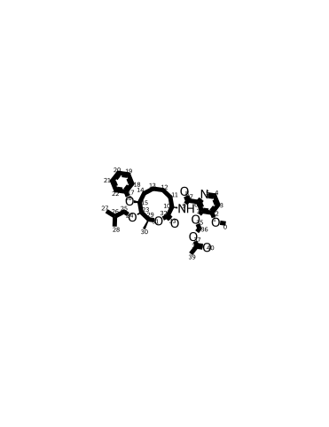 COc1ccnc(C(=O)N[C@H]2CCCC[C@H](Oc3ccccc3)[C@@H](OCC(C)C)[C@H](C)OC2=O)c1OCOC(C)=O